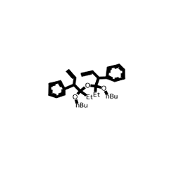 C=CC(c1ccccc1)C(CC)(OCCCC)OC(CC)(OCCCC)C(C=C)c1ccccc1